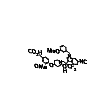 [C-]#[N+]c1ccc2c(C(O)(CN3CCC(Oc4ccc(CC(=O)O)cc4OC)CC3)C(F)(F)F)cn(Cc3cccc(OC)c3)c2c1